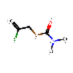 C=C(Cl)CSC(=O)N(CC)CC